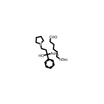 CCCCCCCCCCCCCCCC=O.OC([AsH2])(CCN1CCCC1)c1ccccc1